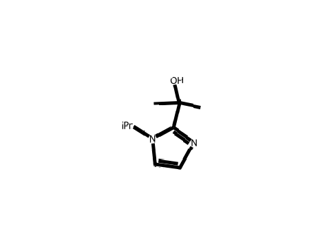 CC(C)n1ccnc1C(C)(C)O